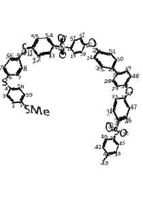 CSc1ccc(Sc2ccc(Sc3ccc(S(=O)(=O)c4ccc(Oc5ccc(-c6ccc(Oc7ccc(S(=O)(=O)c8ccc(C)cc8)cc7)cc6)cc5)cc4)cc3)cc2)cc1